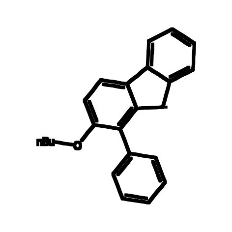 CCCCOc1ccc2c(c1-c1ccccc1)[CH]c1ccccc1-2